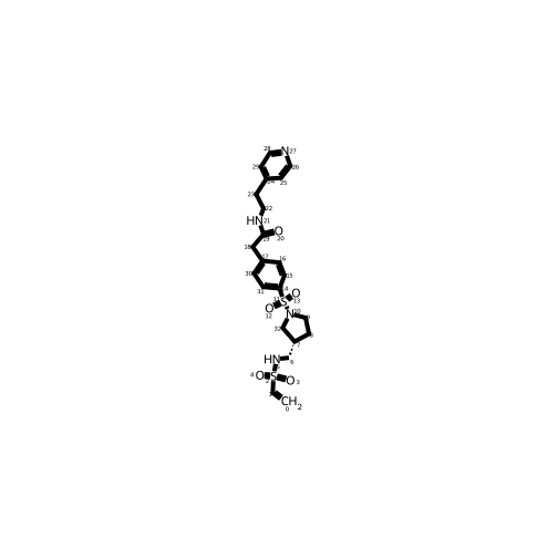 C=CS(=O)(=O)NC[C@H]1CCN(S(=O)(=O)c2ccc(CC(=O)NCCc3ccncc3)cc2)C1